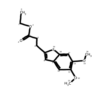 CCOC(=O)CCc1cc2cc(OC)c(OC)cc2s1